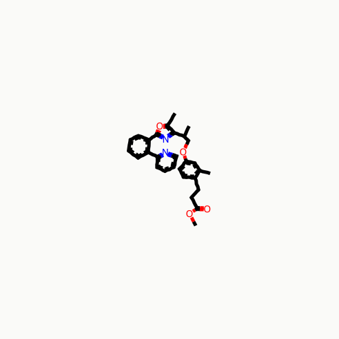 COC(=O)CCc1ccc(OCC(C)c2nc(-c3ccccc3-c3ccccn3)oc2C)cc1C